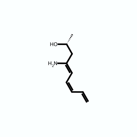 C=C/C=C\C=C(/N)C[C@@H](C)O